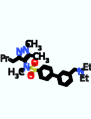 CCN(CC)Cc1cccc(-c2ccc(S(=O)(=O)N(C)c3c(CC(C)C)nn(C)c3C)cc2)c1